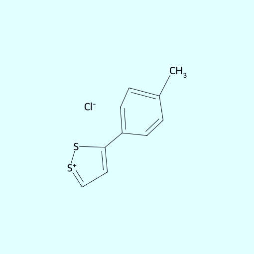 Cc1ccc(-c2cc[s+]s2)cc1.[Cl-]